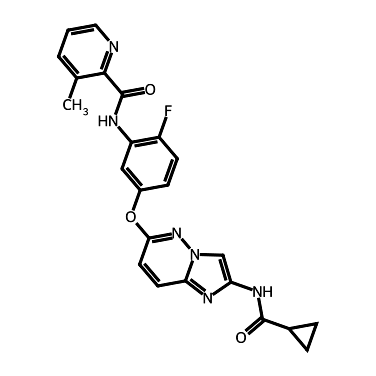 Cc1cccnc1C(=O)Nc1cc(Oc2ccc3nc(NC(=O)C4CC4)cn3n2)ccc1F